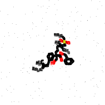 CCOC(=O)CS(=O)(=O)CC(C)(C)CCCC(CO)(C(=O)OCc1ccccc1)c1cccc(CC(C)C(=O)OCC)c1